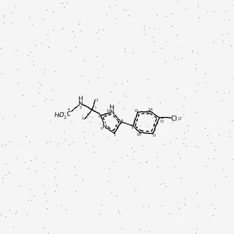 CC(C)(NC(=O)O)c1ncc(-c2ccc(Cl)cc2)[nH]1